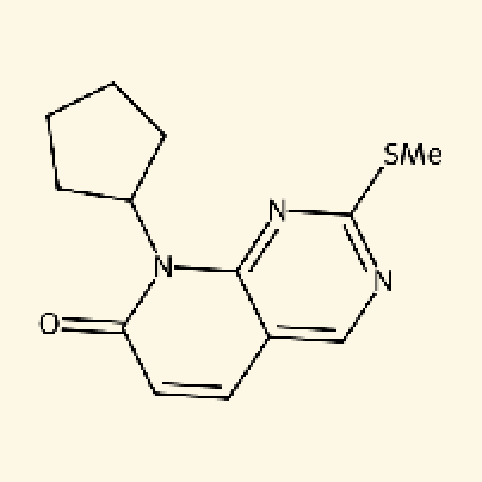 CSc1ncc2ccc(=O)n(C3CCCC3)c2n1